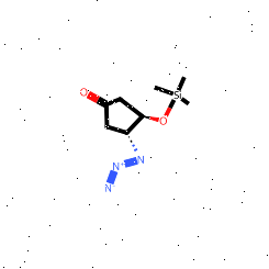 C[Si](C)(C)O[C@@H]1CC(=O)C[C@H]1N=[N+]=[N-]